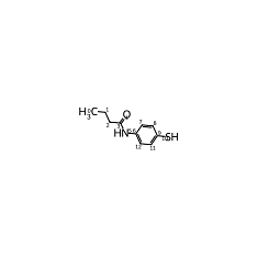 CCCC(=O)Nc1ccc(S)cc1